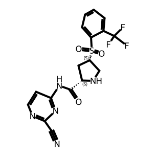 N#Cc1nccc(NC(=O)[C@@H]2C[C@H](S(=O)(=O)c3ccccc3C(F)(F)F)CN2)n1